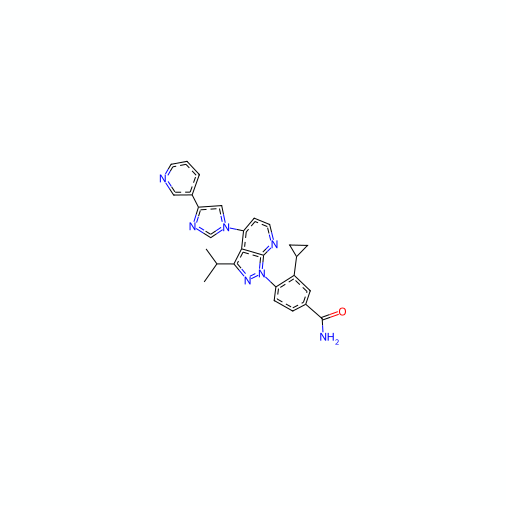 CC(C)c1nn(-c2ccc(C(N)=O)cc2C2CC2)c2nccc(-n3cnc(-c4cccnc4)c3)c12